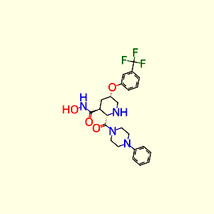 O=C(NO)[C@H]1C[C@H](Oc2cccc(C(F)(F)F)c2)CN[C@@H]1C(=O)N1CCN(c2ccccc2)CC1